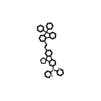 C(=C\c1cccc2c1-c1ccccc1C2(c1ccccc1)c1ccccc1)/c1ccc2c(c1)C1(CCCC1)c1cc(N(c3ccccn3)c3ccccn3)ccc1-2